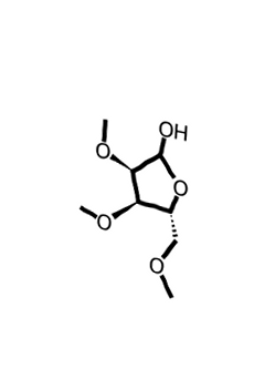 COC[C@H]1OC(O)[C@H](OC)[C@@H]1OC